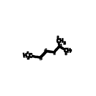 [CH]C(C)CCCC